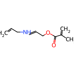 C=CCNC=CCOC(=O)C(=C)C